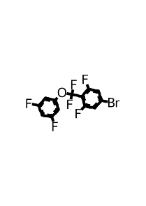 Fc1cc(F)cc(OC(F)(F)c2c(F)cc(Br)cc2F)c1